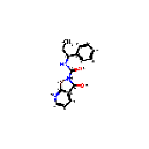 CCC(NC(=O)n1sc2ncccc2c1=O)c1ccccc1